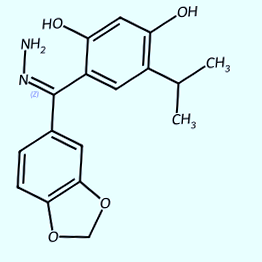 CC(C)c1cc(/C(=N\N)c2ccc3c(c2)OCO3)c(O)cc1O